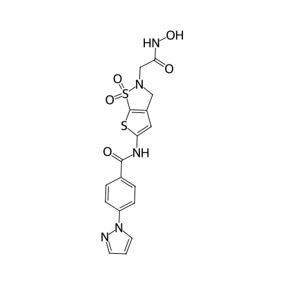 O=C(CN1Cc2cc(NC(=O)c3ccc(-n4cccn4)cc3)sc2S1(=O)=O)NO